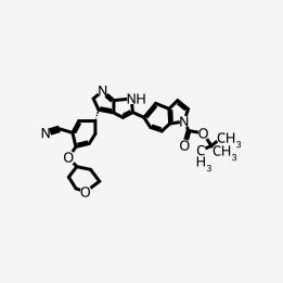 CC(C)(C)OC(=O)n1ccc2cc(-c3cc4c([nH]3)=NCC=4[C@H]3C=C(C#N)C(OC4CCOCC4)=CC3)ccc21